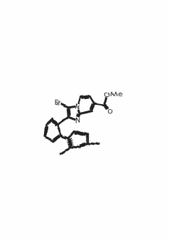 COC(=O)c1ccn2c(Br)c(-c3ccccc3-c3ccc(C)cc3C)nc2c1